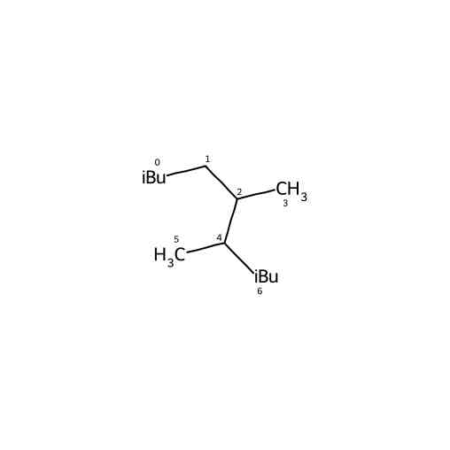 [CH2]CC(C)CC(C)C(C)C(C)CC